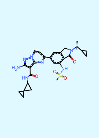 C[C@@H](C1CC1)N1Cc2cc(-c3ccn4nc(N)c(C(=O)NC5CC56CC6)c4n3)cc(NS(C)(=O)=O)c2C1=O